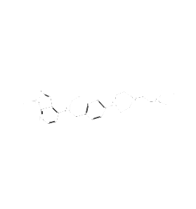 C[C@H]1CN(c2ccnc3c2cnn3C)Cc2ccc(N3CCN(CCN(C)C)CC3)cc21